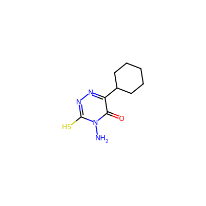 Nn1c(S)nnc(C2CCCCC2)c1=O